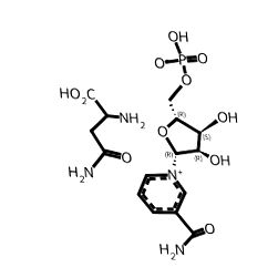 NC(=O)CC(N)C(=O)O.NC(=O)c1ccc[n+]([C@@H]2O[C@H](COP(=O)([O-])O)[C@@H](O)[C@H]2O)c1